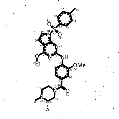 CCOc1nc(Nc2ccc(C(=O)N3CCN(C)[C@@H](C)C3)cc2OC)nc2c1ccn2S(=O)(=O)c1ccc(C)cc1